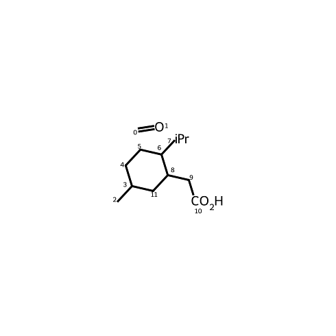 C=O.CC1CCC(C(C)C)C(CC(=O)O)C1